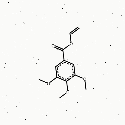 C=COC(=O)c1cc(OC)c(OC)c(OC)c1